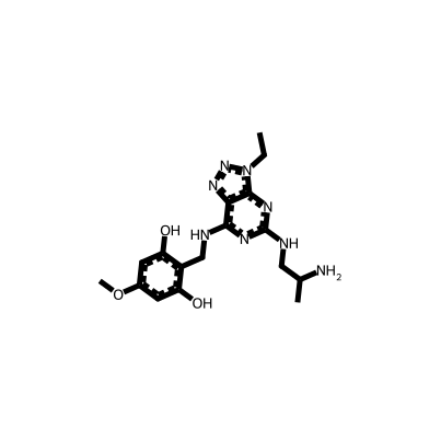 CCn1nnc2c(NCc3c(O)cc(OC)cc3O)nc(NCC(C)N)nc21